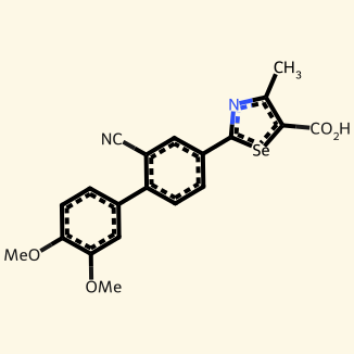 COc1ccc(-c2ccc(-c3nc(C)c(C(=O)O)[se]3)cc2C#N)cc1OC